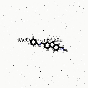 C/C=C/c1ccc2c(c1)C(CCCC)(CCCC)c1cc(/C=C/c3ccc(OC)cc3)ccc1-2